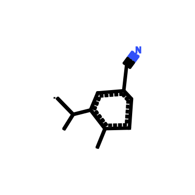 [CH2]C(C)c1cc(C#N)ccc1C